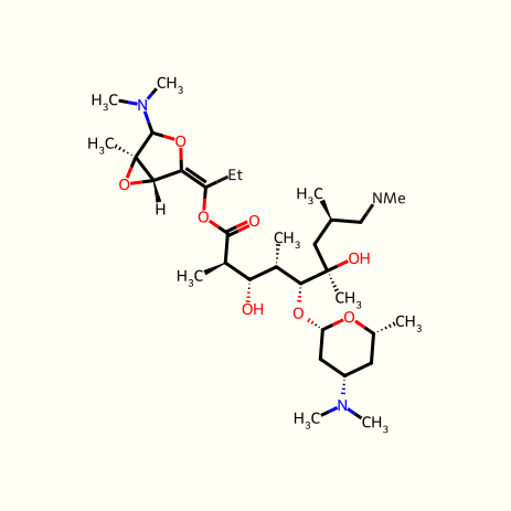 CC/C(OC(=O)[C@H](C)[C@@H](O)[C@H](C)[C@@H](O[C@H]1C[C@@H](N(C)C)C[C@@H](C)O1)[C@](C)(O)C[C@@H](C)CNC)=C1\OC(N(C)C)[C@]2(C)O[C@@H]12